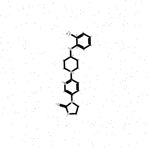 O=C1OCCN1c1ccc(N2CCC(Oc3ccccc3C(F)(F)F)CC2)nc1